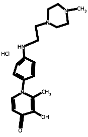 Cc1c(O)c(=O)ccn1-c1ccc(NCCN2CCN(C)CC2)cc1.Cl